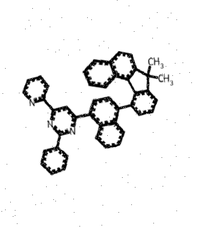 CC1(C)c2cccc(-c3ccc(-c4cc(-c5ccccn5)nc(-c5ccccc5)n4)c4ccccc34)c2-c2c1ccc1ccccc21